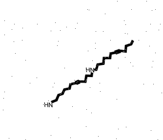 CCCCC#CCCCCCCNCCCC#CCCCCCCC[NH]